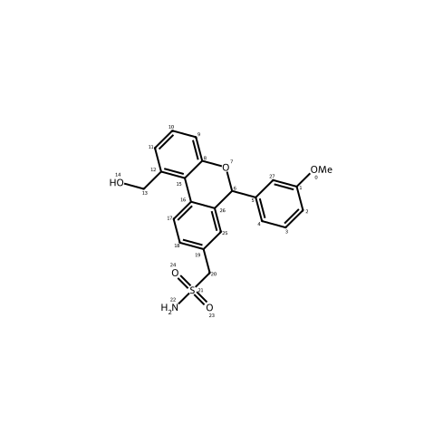 COc1cccc(C2Oc3cccc(CO)c3-c3ccc(CS(N)(=O)=O)cc32)c1